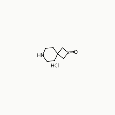 Cl.O=C1CC2(CCNCC2)C1